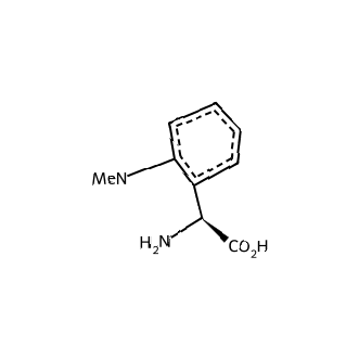 CNc1ccccc1[C@H](N)C(=O)O